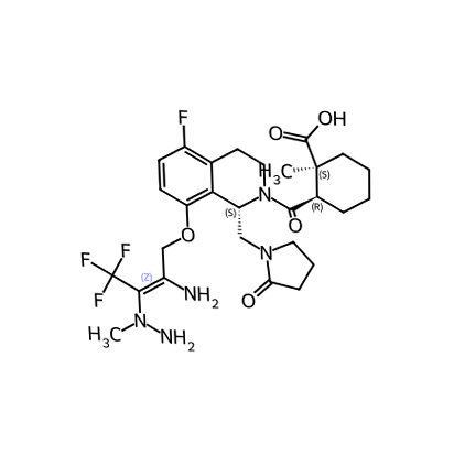 CN(N)/C(=C(\N)COc1ccc(F)c2c1[C@@H](CN1CCCC1=O)N(C(=O)[C@@H]1CCCC[C@]1(C)C(=O)O)CC2)C(F)(F)F